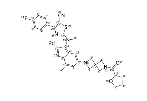 CCc1nn2c(C)cc(N3CC4(CN(C(=O)C5CCCO5)C4)C3)cc2c1N(C)c1nc(-c2ccc(F)cc2)c(C#N)s1